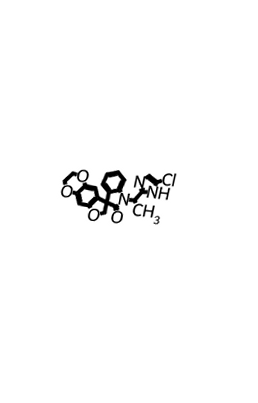 CC(c1ncc(Cl)[nH]1)N1C(=O)C2(COc3cc4c(cc32)OCCO4)c2ccccc21